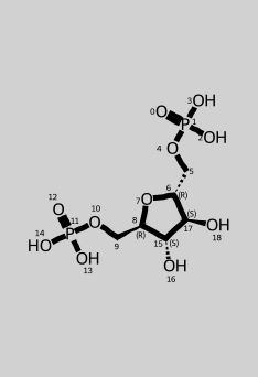 O=P(O)(O)OC[C@H]1O[C@H](COP(=O)(O)O)[C@@H](O)[C@@H]1O